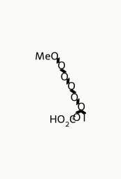 COCCOCCOCCOCCOCCOC(CI)COC(=O)O